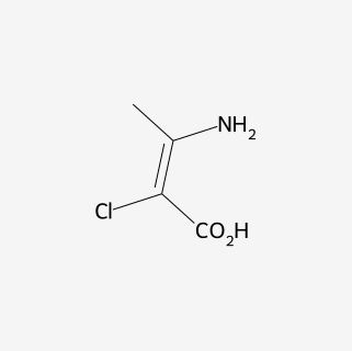 CC(N)=C(Cl)C(=O)O